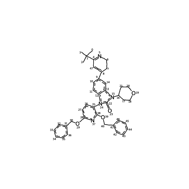 CC(C)(C)C1=NCCC(c2ccc3c(c2)n(C2CCOCC2)c(=O)n3-c2ccc(OCc3ccccc3)nc2OCc2ccccc2)=C1